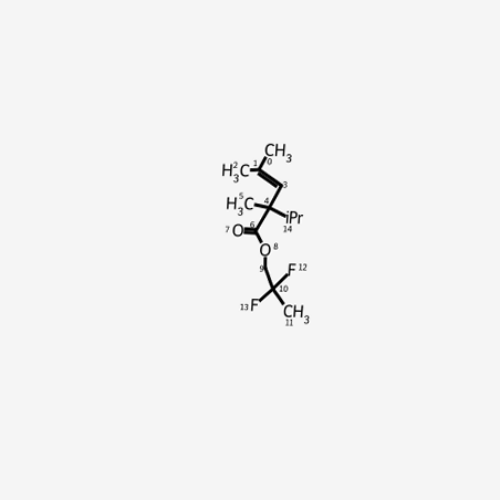 CC(C)=CC(C)(C(=O)OCC(C)(F)F)C(C)C